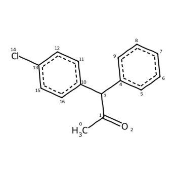 CC(=O)C(c1ccccc1)c1ccc(Cl)cc1